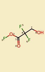 O=C(OF)C(F)(F)CO